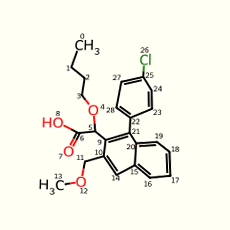 CCCCOC(C(=O)O)c1c(COC)cc2ccccc2c1-c1ccc(Cl)cc1